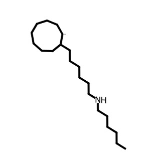 CCCCCCNCCCCCCC1[CH]CCCCCCC1